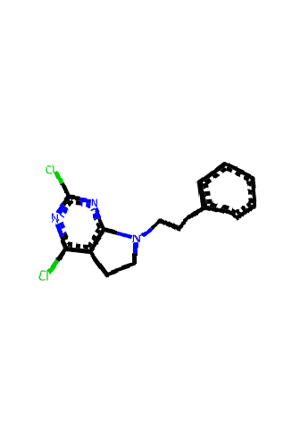 Clc1nc(Cl)c2c(n1)N(CCc1ccccc1)CC2